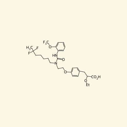 CCOC(Cc1ccc(OCCN(CCCCCC(C)(F)F)C(=O)Nc2ccccc2OC(F)(F)F)cc1)C(=O)O